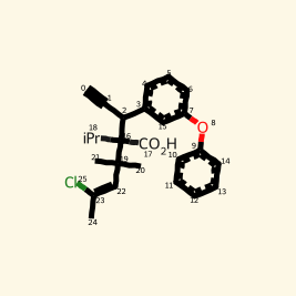 C#CC(c1cccc(Oc2ccccc2)c1)C(C(=O)O)(C(C)C)C(C)(C)C=C(C)Cl